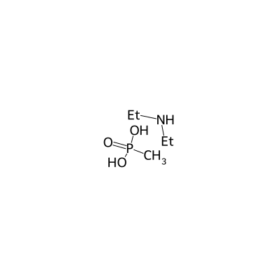 CCNCC.CP(=O)(O)O